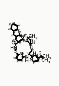 CC(C)(C)c1ccnc(C2CC[C@@H]3CN(c4nc(F)c(Cc5ccccc5)cc4C(=O)NSc4cccc(n4)N2)C(C)(C)C3)c1